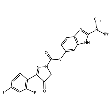 CC(C)N(C)c1nc2ccc(NC(=O)N3CC(=O)C(c4ccc(F)cc4F)=N3)cc2[nH]1